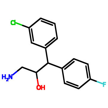 NCC(O)C(c1ccc(F)cc1)c1cccc(Cl)c1